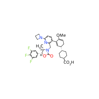 COC1=CCC([C@H]2CC[C@H](C(=O)O)CC2)C=C1c1ccc(N2CCC2)nc1CN1C(=O)O[C@H](c2cc(F)c(F)c(F)c2)[C@@H]1C